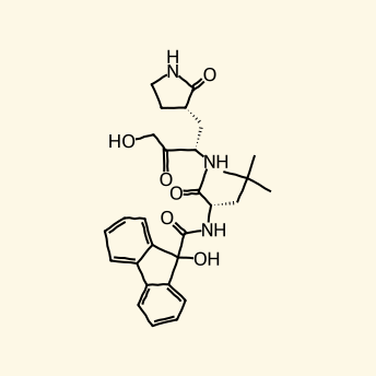 CC(C)(C)C[C@H](NC(=O)C1(O)c2ccccc2-c2ccccc21)C(=O)N[C@@H](C[C@@H]1CCNC1=O)C(=O)CO